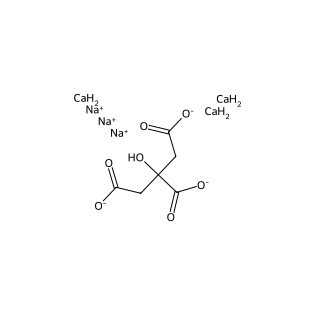 O=C([O-])CC(O)(CC(=O)[O-])C(=O)[O-].[CaH2].[CaH2].[CaH2].[Na+].[Na+].[Na+]